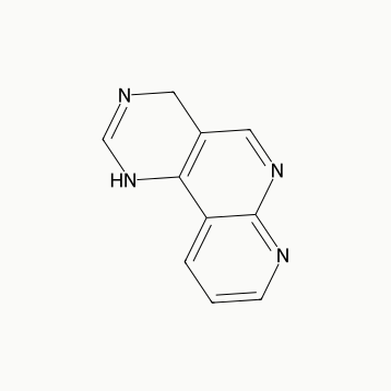 C1=NCc2cnc3ncccc3c2N1